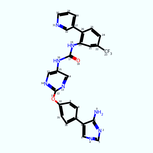 Nc1ncncc1-c1ccc(Oc2ncc(NC(=O)Nc3cc(C(F)(F)F)ccc3-c3cccnc3)cn2)cc1